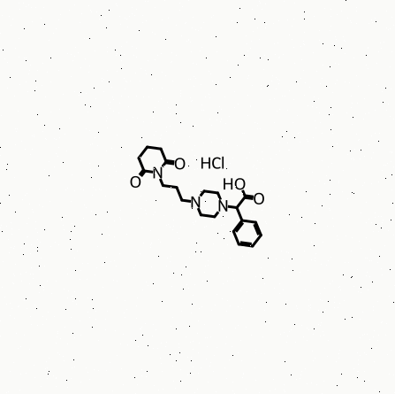 Cl.O=C(O)C(c1ccccc1)N1CCN(CCCN2C(=O)CCCC2=O)CC1